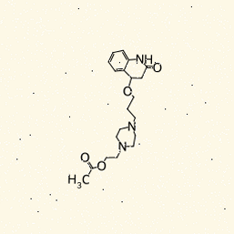 CC(=O)OCCN1CCN(CCCOC2CC(=O)Nc3ccccc32)CC1